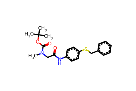 CN(CC(=O)Nc1ccc(SCc2ccccc2)cc1)C(=O)OC(C)(C)C